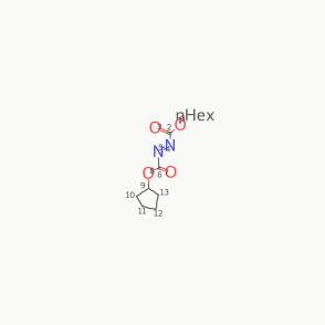 CCCCCCOC(=O)/N=N/C(=O)OC1CCCC1